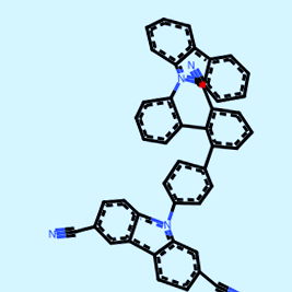 N#Cc1ccc2c(c1)c1ccc(C#N)cc1n2-c1ccc(-c2cccc(C#N)c2-c2ccccc2-n2c3ccccc3c3ccccc32)cc1